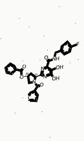 O=C(O[C@@H]1C[C@@H](c2nc(O)c(O)c(C(=O)NCc3ccc(F)cc3)n2)N(C(=O)c2ccccc2)C1)c1ccccc1